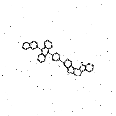 c1ccc2cc(-c3c4ccccc4c(-c4ccc(-c5ccc6c(c5)sc5ccc7c8ccccc8sc7c56)cc4)c4ccccc34)ccc2c1